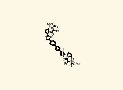 CC[C@H]1CC[C@@H](c2ncc(-c3ccc(-c4ccc(-c5cnc([C@@H]6CC[C@H](CC)N6C(=O)[C@@H](NC(=O)OC)C(C)C)[nH]5)cc4)cc3)[nH]2)N1C(=O)C(NC(=O)OC)C(C)C